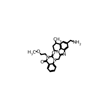 COCCn1c(=O)c2ccccc2n(Cc2nc3cc(CN)cc4c3n2CCC4C)c1=O